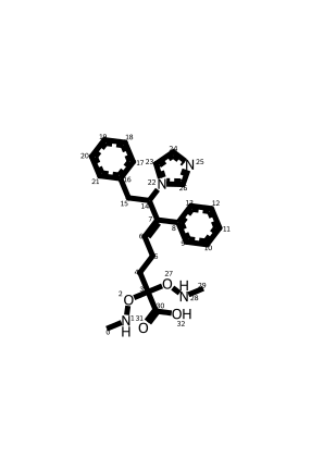 CNOC(CC/C=C(\c1ccccc1)C(Cc1ccccc1)n1ccnc1)(ONC)C(=O)O